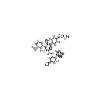 CN(C)c1cccc2c1CCN(C(=O)C=Cc1cc(Cl)ccc1-n1cnnn1)C2C(=O)Nc1ccc(C(=O)O)cc1